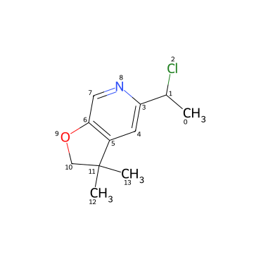 CC(Cl)c1cc2c(cn1)OCC2(C)C